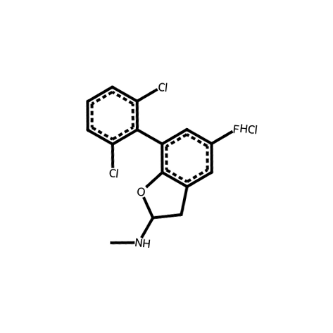 CNC1Cc2cc(F)cc(-c3c(Cl)cccc3Cl)c2O1.Cl